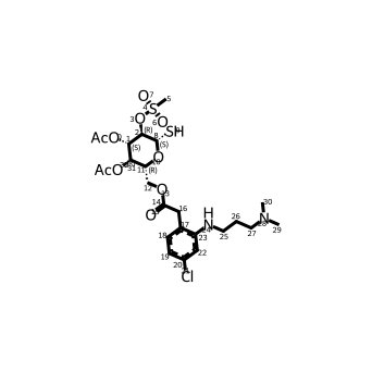 CC(=O)O[C@@H]1[C@@H](OS(C)(=O)=O)[C@H](S)O[C@H](COC(=O)Cc2ccc(Cl)cc2NCCCN(C)C)[C@H]1OC(C)=O